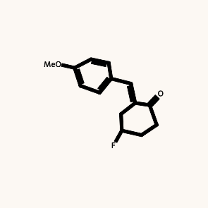 COc1ccc(C=C2CC(F)CCC2=O)cc1